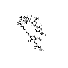 CC(C)(C)OC(=O)CCC(N)C(=O)NCCCCCCOP(=O)(O)OP(=O)(O)OP(=O)(O)OC[C@H]1O[C@@H](n2ccc(N)nc2=O)C[C@H]1O